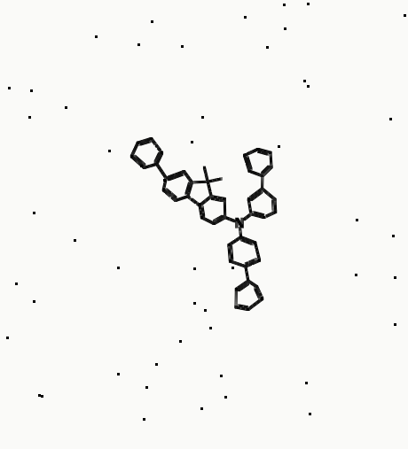 CC1(C)c2cc(-c3ccccc3)ccc2-c2ccc(N(c3ccc(-c4ccccc4)cc3)c3cccc(-c4ccccc4)c3)cc21